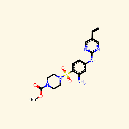 C=Cc1cnc(Nc2ccc(S(=O)(=O)N3CCN(C(=O)OC(C)(C)C)CC3)c(N)c2)nc1